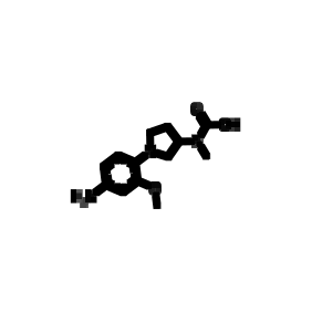 COc1cc(N)ccc1N1CCC(N(C)C(=O)O)C1